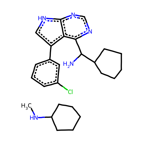 CNC1CCCCC1.NC(c1ncnc2[nH]cc(-c3cccc(Cl)c3)c12)C1CCCCC1